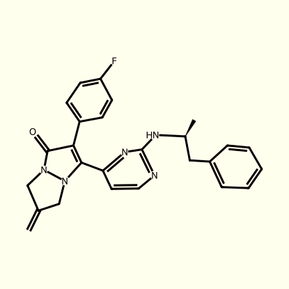 C=C1Cn2c(-c3ccnc(N[C@@H](C)Cc4ccccc4)n3)c(-c3ccc(F)cc3)c(=O)n2C1